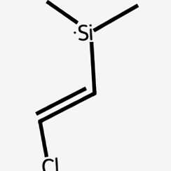 C[Si](C)C=CCl